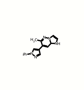 CC1=NN2C=CNC2C=C1c1cnn(C(C)C)c1